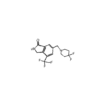 O=C1NCc2c1cc(CN1CCC(F)(F)CC1)cc2C(F)(F)F